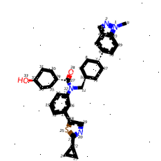 Cn1ncc2cc([C@H]3CC[C@H](CN(c4cccc(-c5cnc(C6CC6)s5)c4)C(=O)[C@H]4CC[C@H](O)CC4)CC3)ccc21